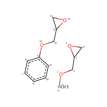 CCCCCCCCOCC1CO1.c1ccc(OCC2CO2)cc1